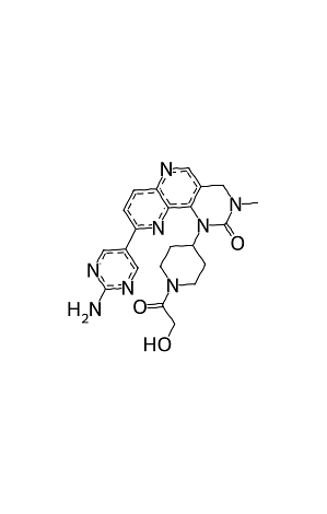 CN1Cc2cnc3ccc(-c4cnc(N)nc4)nc3c2N(C2CCN(C(=O)CO)CC2)C1=O